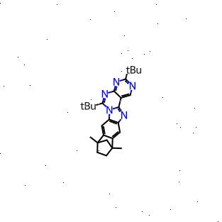 CC(C)(C)c1ncc2c(n1)nc(C(C)(C)C)n1c3cc4c(cc3nc21)C1(C)CCC4(C)C1